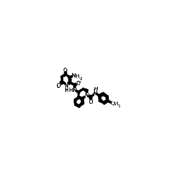 Cc1ccc(NC(=O)N2CCC(NC(=O)C3=C(N)C(=O)CC(=O)N3)c3ccccc32)cc1